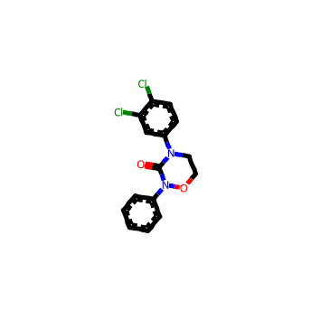 O=C1N(c2ccc(Cl)c(Cl)c2)CCON1c1ccccc1